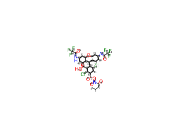 O=C(ON1OCCCC1=O)c1cc(Cl)c(-c2c3cc/c(=N\C(=O)C(F)(F)F)cc-3oc3cc(NC(=O)C(F)(F)F)ccc23)c(C(=O)O)c1Cl